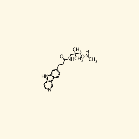 CNOCC(C)(C)CNC(=O)CCc1ccc2c(c1)[nH]c1ccncc12